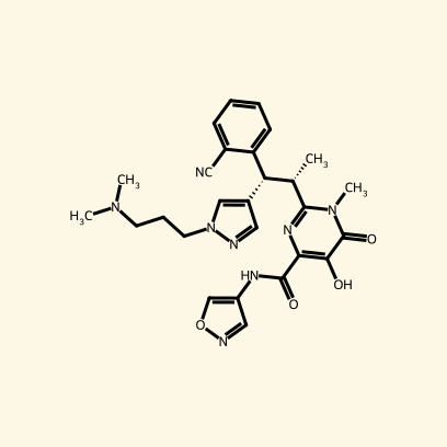 C[C@H](c1nc(C(=O)Nc2cnoc2)c(O)c(=O)n1C)[C@H](c1cnn(CCCN(C)C)c1)c1ccccc1C#N